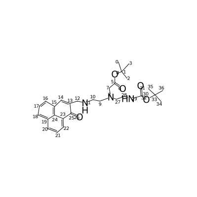 CC(C)(C)OC(=O)CN(CCNCC1=Cc2cccc3cccc(c23)C1=O)CCNC(=O)OC(C)(C)C